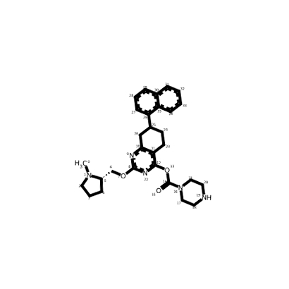 CN1CCC[C@H]1COc1nc2c(c(OC(=O)N3CCNCC3)n1)CCC(c1cccc3ccccc13)C2